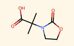 CC(C)(C(=O)O)N1CCOC1=O